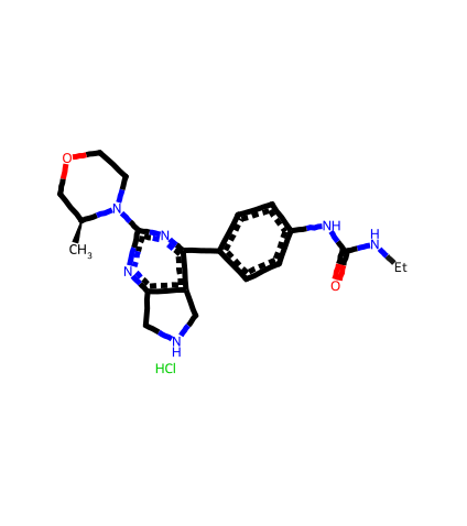 CCNC(=O)Nc1ccc(-c2nc(N3CCOC[C@@H]3C)nc3c2CNC3)cc1.Cl